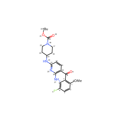 COc1ccc(F)cc1C(=O)c1ccc(NC2CCN(C(=O)OC(C)(C)C)CC2)nc1N